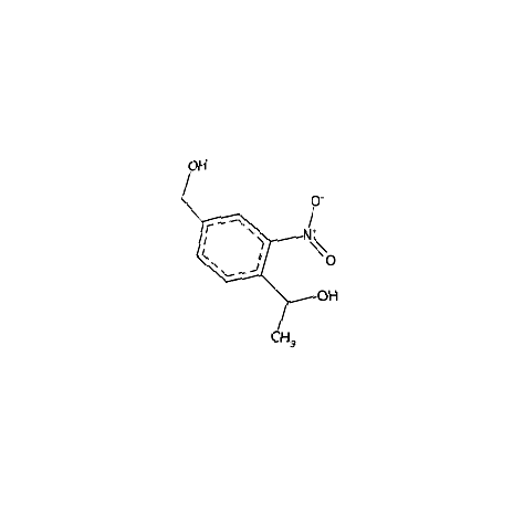 CC(O)c1ccc(CO)cc1[N+](=O)[O-]